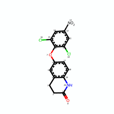 O=C1CCc2cc(Oc3c(Cl)cc([N+](=O)[O-])cc3Cl)ccc2N1